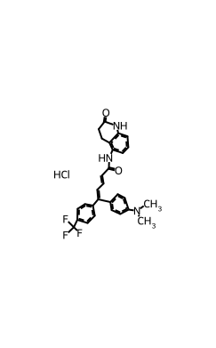 CN(C)c1ccc(C(=CC=CC(=O)Nc2cccc3c2CCC(=O)N3)c2ccc(C(F)(F)F)cc2)cc1.Cl